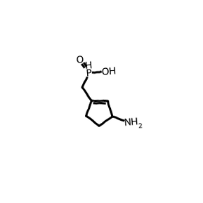 NC1C=C(C[PH](=O)O)CC1